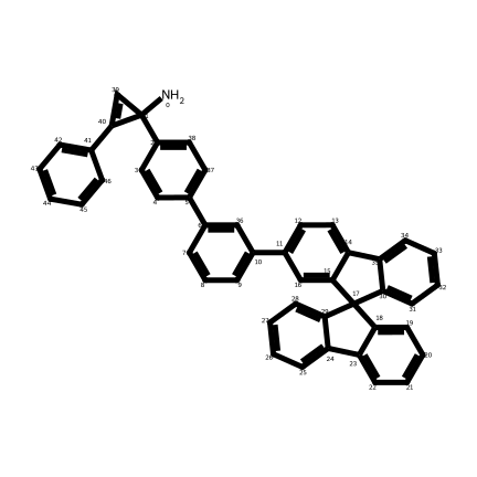 NC1(c2ccc(-c3cccc(-c4ccc5c(c4)C4(c6ccccc6-c6ccccc64)c4ccccc4-5)c3)cc2)C=C1c1ccccc1